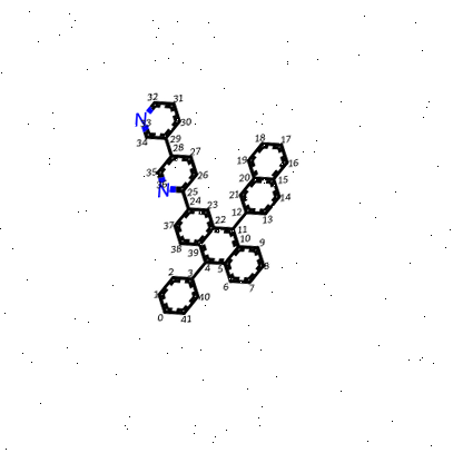 c1ccc(-c2c3ccccc3c(-c3ccc4ccccc4c3)c3cc(-c4ccc(-c5cccnc5)cn4)ccc23)cc1